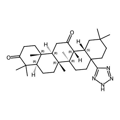 CC1(C)CCC2(c3nn[nH]n3)CC[C@]3(C)[C@H](C(=O)C[C@@H]4[C@@]5(C)CCC(=O)C(C)(C)[C@@H]5CC[C@]43C)[C@@H]2C1